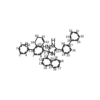 b1ccccc1-c1ccc(C2(c3cccc4ccccc34)N=C(c3cccc(-c4ccccc4)c3)NN2)c2c1CCC=C2